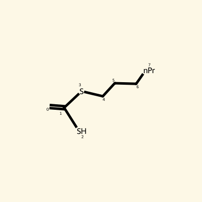 C=C(S)SCCCCCC